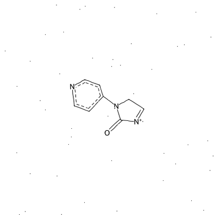 O=C1[N+]=CCN1c1ccncc1